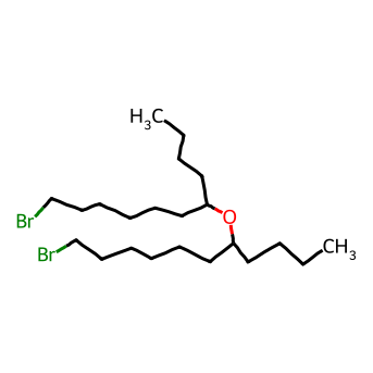 CCCCC(CCCCCCBr)OC(CCCC)CCCCCCBr